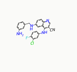 N#Cc1cnc2ccc(NCc3cccc(N)c3)cc2c1Nc1ccc(F)c(Cl)c1